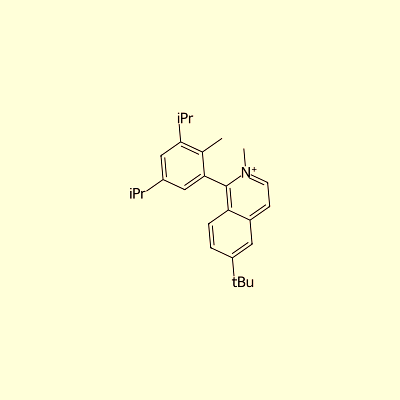 Cc1c(-c2c3ccc(C(C)(C)C)cc3cc[n+]2C)cc(C(C)C)cc1C(C)C